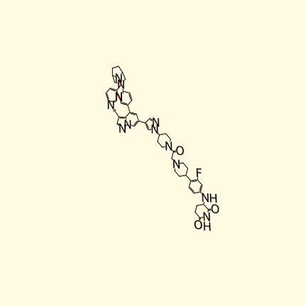 N#Cc1cnn2cc(-c3cnn(C4CCN(C(=O)CN5CCC(c6ccc(NC7CCC(=O)NC7=O)cc6F)CC5)CC4)c3)cc(-c3ccc(N4CC5CCC(C4)N5Cc4ccccn4)nc3)c12